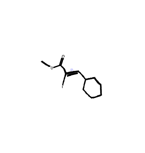 COC(=O)/C(I)=C/C1CCCCC1